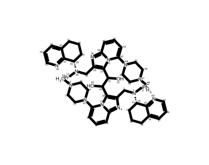 CC(C)N(Cc1nc2cccc(N3CCN(C)CC3)n2c1C(O)C(O)c1c(CN(C(C)C)[C@H]2CCCc3cccnc32)nc2cccc(N3CCN(C)CC3)n12)[C@H]1CCCc2cccnc21